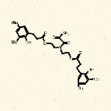 CC(C)(C)c1cc(CCC(=O)OCCN(CCOC(=O)CCc2cc(C(C)(C)C)cc(C(C)(C)C)c2O)C(=O)C(N)=O)c(O)c(C(C)(C)C)c1